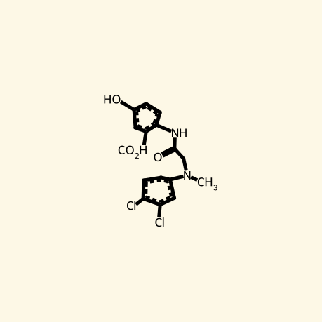 CN(CC(=O)Nc1ccc(O)cc1C(=O)O)c1ccc(Cl)c(Cl)c1